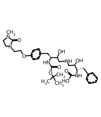 CN1CCN(CCOc2ccc(C[C@H](NC(=O)OC(C)(C)C)C(O)CNC[C@@H](O)[C@H](Cc3ccccc3)NC(=O)O)cc2)C1=O